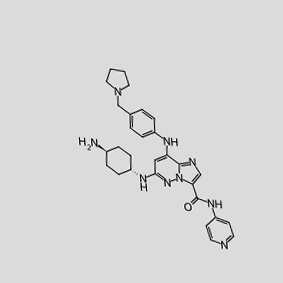 N[C@H]1CC[C@H](Nc2cc(Nc3ccc(CN4CCCC4)cc3)c3ncc(C(=O)Nc4ccncc4)n3n2)CC1